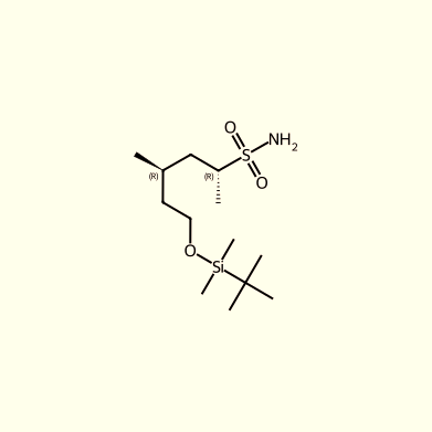 C[C@H](CCO[Si](C)(C)C(C)(C)C)C[C@@H](C)S(N)(=O)=O